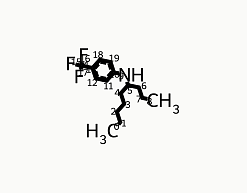 CCCCCC(CCC)Nc1ccc(C(F)(F)F)cc1